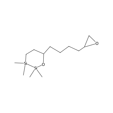 C[Si]1(C)CCC(CCCCC2CO2)O[Si]1(C)C